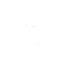 [CH2]C(=O)N(C)CC(=O)OCCCO[N+](=O)[O-]